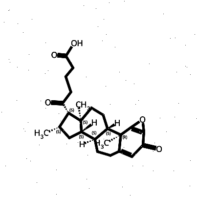 C[C@H]1C[C@H]2[C@@H]3CCC4=CC(=O)C5=C(O5)[C@]4(C)[C@H]3CC[C@]2(C)[C@H]1C(=O)CCCC(=O)O